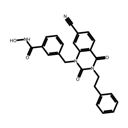 N#Cc1ccc2c(=O)n(CCc3ccccc3)c(=O)n(Cc3cccc(C(=O)NO)c3)c2c1